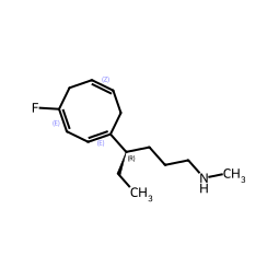 CC[C@H](CCCNC)/C1=C/C=C(/F)C/C=C\C1